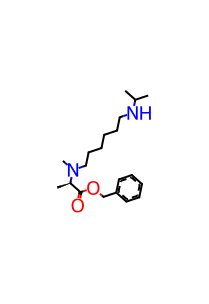 CC(C)NCCCCCCN(C)[C@H](C)C(=O)OCc1ccccc1